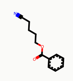 N#CCCCCOC(=O)c1ccccc1